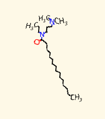 CCCCCCCCCCCCCCCC(=O)N(CCC)CCCN(C)C